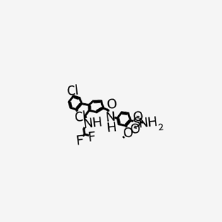 COc1cc(NC(=O)c2ccc(-c3cc(Cl)ccc3Cl)c(CNCC(F)F)c2)ccc1S(N)(=O)=O